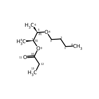 CCCCO[C@H](C)[C@H](C)OC(=O)CC